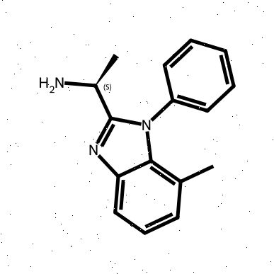 Cc1cccc2nc([C@H](C)N)n(-c3ccccc3)c12